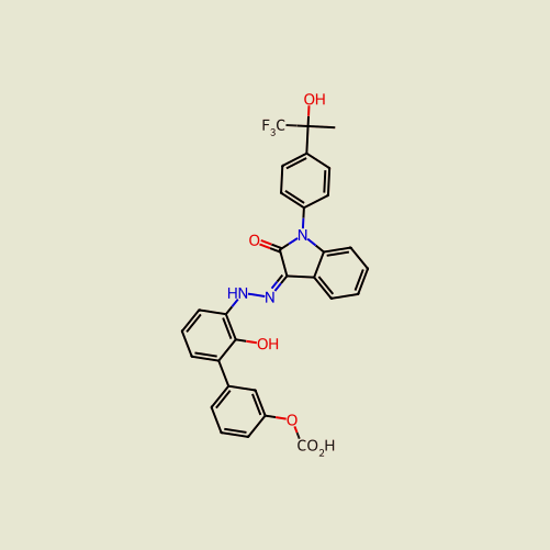 CC(O)(c1ccc(N2C(=O)C(=NNc3cccc(-c4cccc(OC(=O)O)c4)c3O)c3ccccc32)cc1)C(F)(F)F